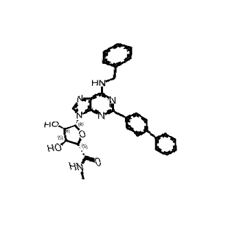 CNC(=O)[C@H]1O[C@@H](n2cnc3c(NCc4ccccc4)nc(-c4ccc(-c5ccccc5)cc4)nc32)[C@H](O)[C@@H]1O